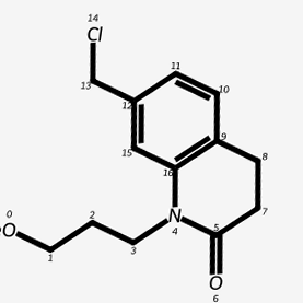 COCCCN1C(=O)CCc2ccc(CCl)cc21